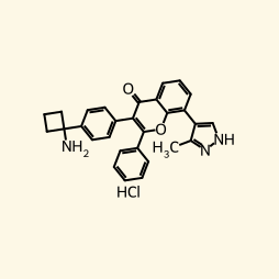 Cc1n[nH]cc1-c1cccc2c(=O)c(-c3ccc(C4(N)CCC4)cc3)c(-c3ccccc3)oc12.Cl